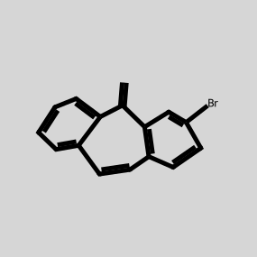 C=C1c2ccccc2C=Cc2ccc(Br)cc21